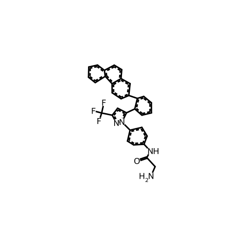 NCC(=O)Nc1ccc(-n2nc(C(F)(F)F)cc2-c2ccccc2-c2ccc3c(ccc4ccccc43)c2)cc1